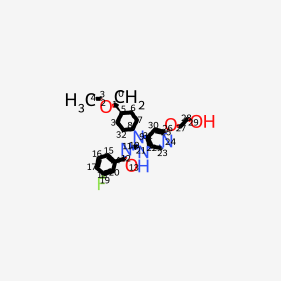 C=C(OCC)[C@H]1CC[C@@H](n2/c(=N/C(=O)c3cccc(F)c3)[nH]c3cnc(OCCO)cc32)CC1